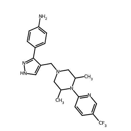 CC1CN(Cc2c[nH]nc2-c2ccc(N)cc2)CC(C)N1c1ccc(C(F)(F)F)cn1